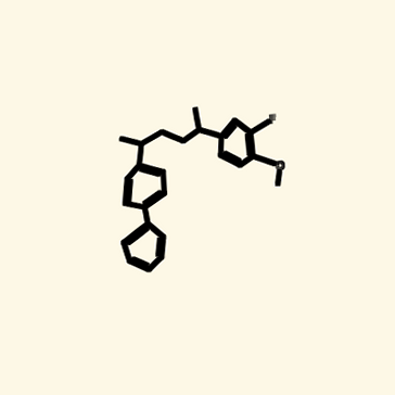 COc1ccc(C(C)CCC(C)c2ccc(-c3ccccc3)cc2)cc1F